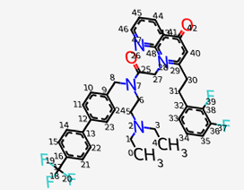 CCN(CC)CCN(Cc1ccc(-c2ccc(C(F)(F)F)cc2)cc1)C(=O)Cn1c(CCc2cccc(F)c2F)cc(=O)c2cccnc21